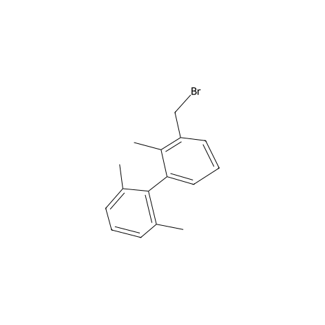 Cc1cccc(C)c1-c1cccc(CBr)c1C